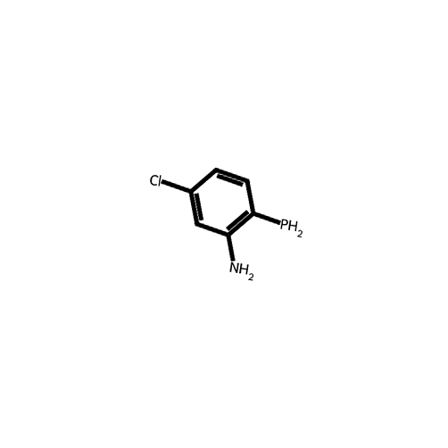 Nc1cc(Cl)ccc1P